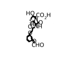 O=COc1cccc(OCC(=O)NC2C(=O)N3C(C(=O)O)=C(O)CS[C@@H]23)c1